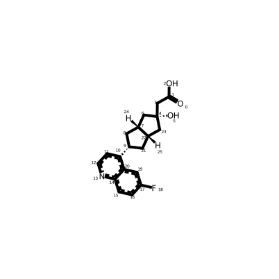 O=C(O)C[C@]1(O)C[C@H]2C[C@@H](c3ccnc4ccc(F)cc34)C[C@H]2C1